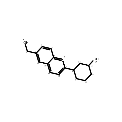 OCc1ccc2nc(C3CCCC(O)C3)ccc2c1